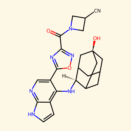 N#CC1CN(C(=O)c2noc(-c3cnc4[nH]ccc4c3N[C@H]3C4CC5CC3C[C@@](O)(C5)C4)n2)C1